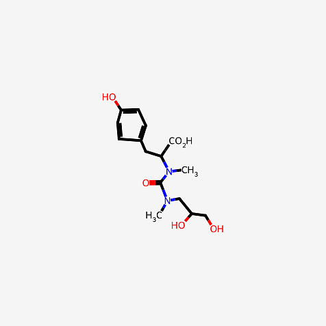 CN(CC(O)CO)C(=O)N(C)C(Cc1ccc(O)cc1)C(=O)O